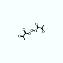 CC(=O)C(=O)OOOC(=O)C(C)=O